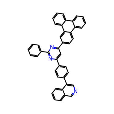 c1ccc(-c2nc(-c3ccc(-c4cncc5ccccc45)cc3)cc(-c3ccc4c5ccccc5c5ccccc5c4c3)n2)cc1